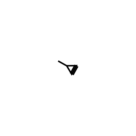 CC1C#C1